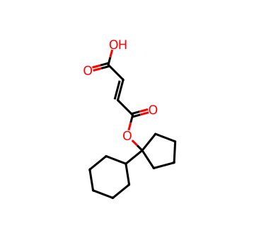 O=C(O)/C=C/C(=O)OC1(C2CCCCC2)CCCC1